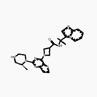 C[C@H]1CNCCN1c1nc(N2CC(C(=O)NC(C)(C)c3cnc4ccccn34)C2)c2sccc2n1